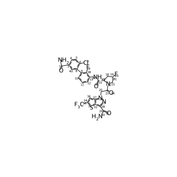 NC(=O)c1ccc(Cl)c(-c2cccc(NC(=O)[C@@H]3C[C@@H](F)CN3C(=O)Cn3nc(C(N)=O)c4sc(C(F)(F)F)cc43)c2F)c1